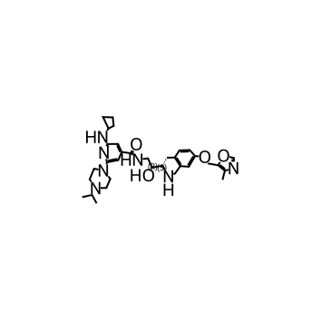 Cc1ncoc1COc1ccc2c(c1)CN[C@H]([C@H](O)CNC(=O)c1cc(NC3CCC3)nc(N3CCN(C(C)C)CC3)c1)C2